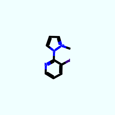 C[n+]1cccn1-c1ncccc1I